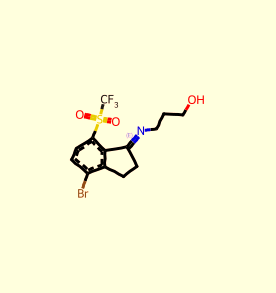 O=S(=O)(c1ccc(Br)c2c1/C(=N/CCCO)CC2)C(F)(F)F